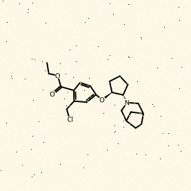 CCOC(=O)c1ccc(O[C@H]2CCC[C@@H]2N2CC3CCC(C3)C2)cc1CCl